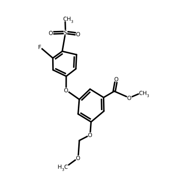 COCOc1cc(Oc2ccc(S(C)(=O)=O)c(F)c2)cc(C(=O)OC)c1